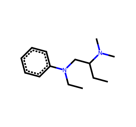 CCC(CN(CC)c1ccccc1)N(C)C